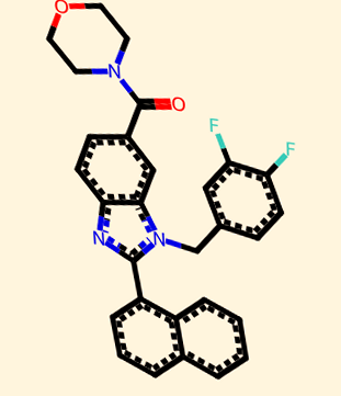 O=C(c1ccc2nc(-c3cccc4ccccc34)n(Cc3ccc(F)c(F)c3)c2c1)N1CCOCC1